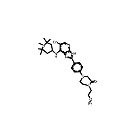 CCOCCN1CCN(c2ccc(-c3nc4c(NC5CC(C)(C)N(C)C(C)(C)C5)c(Br)cnc4[nH]3)cc2)CC1=O